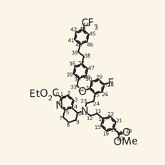 CCOC(=O)c1ccc2c(n1)CCCC2N(CCc1ccc(C(=O)OC)cc1)CCc1cc(F)ccc1OCc1ccc(CCc2ccc(C(F)(F)F)cc2)cc1